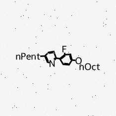 CCCCCCCCOc1ccc(-c2ccc(CCCCC)cn2)c(F)c1